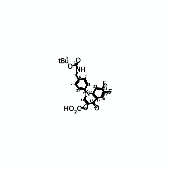 CC(C)(C)OC(=O)NCc1ccc(-n2cc(OC(=O)O)c(=O)c3cc(F)c(F)cc32)cc1